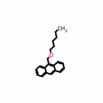 CCCCCCOCc1c2ccccc2cc2ccccc12